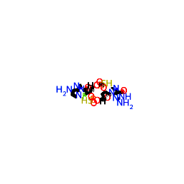 Nc1nc2c(ncn2[C@@H]2O[C@@H]3COP(=O)(S)OC4C(F)[C@H](n5cnc6c(N)ccnc65)O[C@@H]4CO[P@@](=O)(S)OC2C3)c(=O)[nH]1